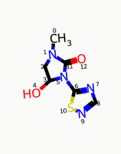 CN1CC(O)N(c2ncns2)C1=O